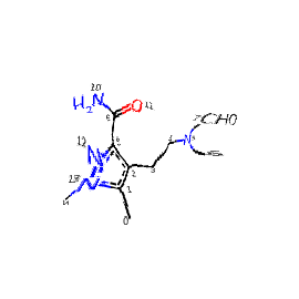 Cc1c(CCN(C)C=O)c(C(N)=O)nn1C